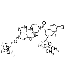 CC(C)(C)OC(=O)N(CC(C(=O)N1CCN2c3ncnc4c3c(cn4COCC[Si](C)(C)C)OC[C@@H]2C1)c1ccc(Cl)cc1)C1CC1